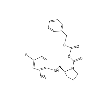 O=C(OCc1ccccc1)OC(=O)N1CCC[C@H]1CNc1ccc(F)cc1[N+](=O)[O-]